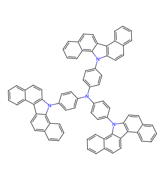 c1ccc2c(c1)ccc1c2c2ccc3ccccc3c2n1-c1ccc(N(c2ccc(-n3c4ccc5ccccc5c4c4ccc5ccccc5c43)cc2)c2ccc(-n3c4ccc5ccccc5c4c4ccc5ccccc5c43)cc2)cc1